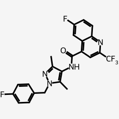 Cc1nn(Cc2ccc(F)cc2)c(C)c1NC(=O)c1cc(C(F)(F)F)nc2ccc(F)cc12